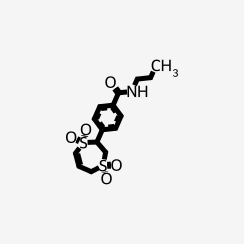 CCCNC(=O)c1ccc(C2CS(=O)(=O)CC=CS2(=O)=O)cc1